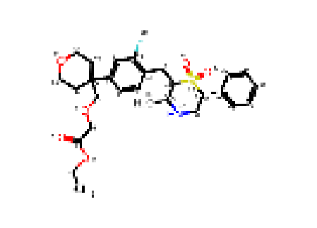 CCOC(=O)COCC1(c2ccc(CC3[C@H](C)NC[C@@H](c4ccccc4)S3(=O)=O)c(F)c2)CCOCC1